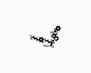 COC(=O)c1nc(N2CCCc3c2nnc(Nc2nc4ccccc4s2)c3C)sc1CCCOc1ccc(CCCCN(C)C)cc1F